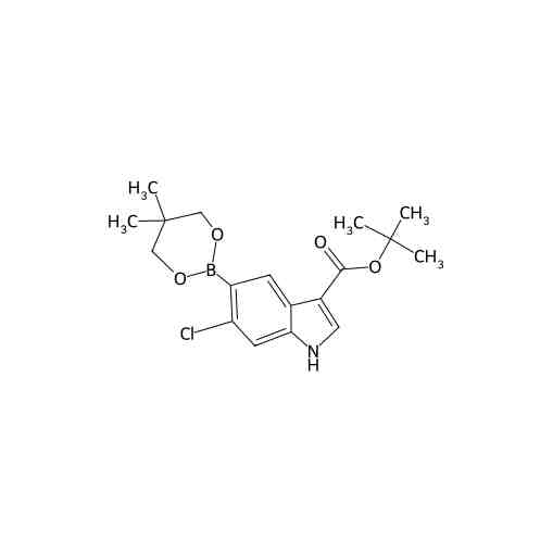 CC1(C)COB(c2cc3c(C(=O)OC(C)(C)C)c[nH]c3cc2Cl)OC1